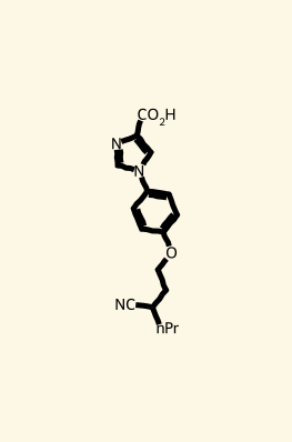 CCCC(C#N)CCOc1ccc(-n2cnc(C(=O)O)c2)cc1